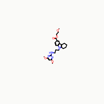 COCCOC(=O)c1ccc2c(c1)c1c(n2CCCNc2nc(OC)cc(OC)n2)CCCC1